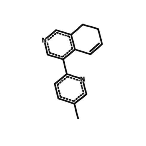 Cc1ccc(-c2cncc3c2C=CCC3)nc1